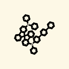 c1ccc(-c2ccc(-c3ccc(N(c4ccccc4)c4cccc5c4-c4ccccc4C54c5ccccc5-c5ccc(N(c6ccccc6)c6ccccc6)cc54)cc3)cc2)cc1